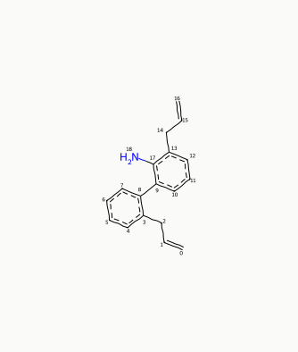 C=CCc1ccccc1-c1cccc(CC=C)c1N